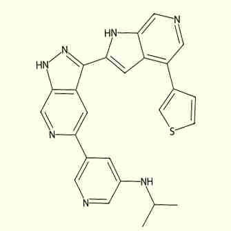 CC(C)Nc1cncc(-c2cc3c(-c4cc5c(-c6ccsc6)cncc5[nH]4)n[nH]c3cn2)c1